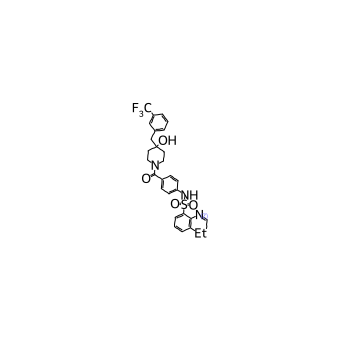 C/C=N\c1c(CC)cccc1S(=O)(=O)Nc1ccc(C(=O)N2CCC(O)(Cc3cccc(C(F)(F)F)c3)CC2)cc1